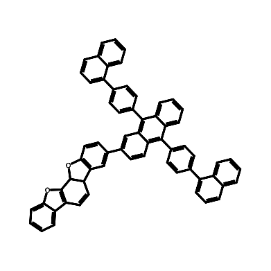 C1=CC2c3cc(-c4ccc5c(-c6ccc(-c7cccc8ccccc78)cc6)c6ccccc6c(-c6ccc(-c7cccc8ccccc78)cc6)c5c4)ccc3OC2c2oc3ccccc3c21